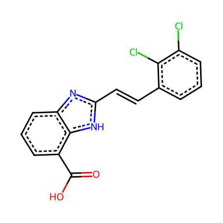 O=C(O)c1cccc2nc(C=Cc3cccc(Cl)c3Cl)[nH]c12